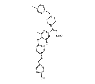 Cc1ccc(CN2CCN(/C(=C/C=O)c3cc(C)c(Oc4ccc(OCc5ccc(C#N)cc5)cn4)c(Cl)c3)CC2)cc1